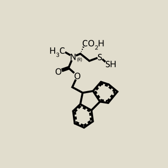 CN(C(=O)OCC1c2ccccc2-c2ccccc21)[C@@H](CSS)C(=O)O